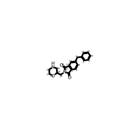 O=C1c2ccc(Cc3ccccc3)cc2C(=O)N1CC1CNCCO1